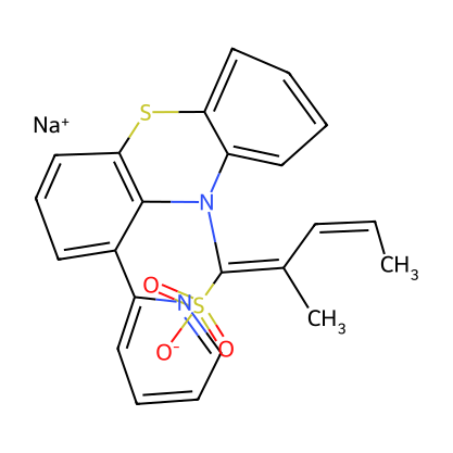 C/C=C\C(C)=C(/N1c2ccccc2Sc2cccc(-c3ccccn3)c21)S(=O)(=O)[O-].[Na+]